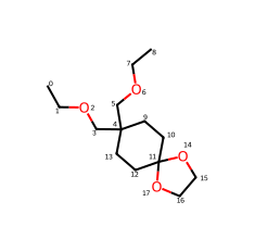 CCOCC1(COCC)CCC2(CC1)OCCO2